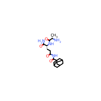 C[C@H](N)C(=O)N[C@H](CCC(=O)NC(=O)C12CC3CC(CC(C3)C1)C2)C(N)=O